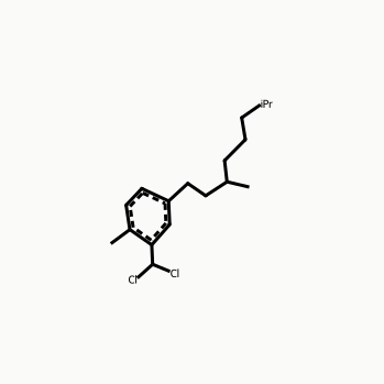 Cc1ccc(CCC(C)CCCC(C)C)cc1C(Cl)Cl